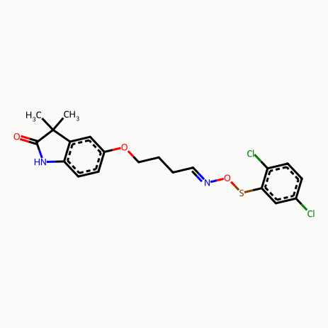 CC1(C)C(=O)Nc2ccc(OCCCC=NOSc3cc(Cl)ccc3Cl)cc21